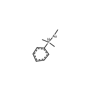 [CH3][Au][PH](C)(C)c1ccccc1